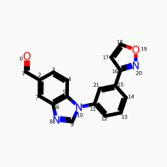 O=Cc1ccc2c(c1)ncn2-c1cccc(-c2ccon2)c1